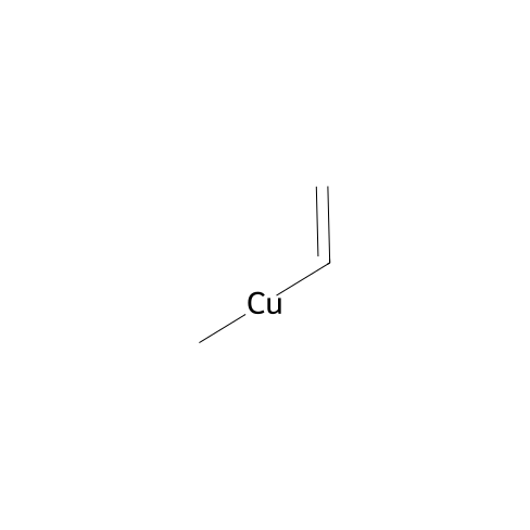 C=[CH][Cu][CH3]